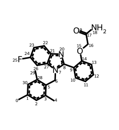 Cc1cc(C)c(Cn2c(-c3ccccc3OCC(N)=O)nc3ccc(F)cc32)c(C)c1